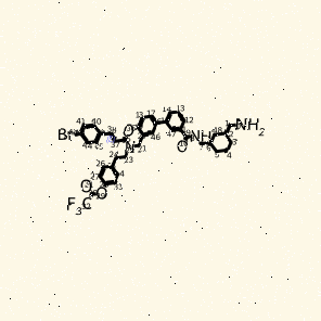 NCC1CCCC(CNC(=O)c2cccc(-c3cccc(CN(CCc4ccc(OC(=O)C(F)(F)F)cc4)C(=O)/C=C/c4ccc(Br)cc4)c3)c2)C1